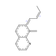 C=c1/c(=C\C=C/C)ccc2cccnc12